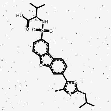 Cc1nc(CC(C)C)sc1-c1ccc2c(c1)oc1ccc(S(=O)(=O)N[C@@H](C(=O)O)C(C)C)cc12